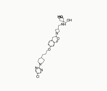 O=C(Cc1ccc(OCCCC2CCN(c3ncc(Cl)cn3)CC2)cc1F)N1CC(CNC(CO)(CO)CO)C1